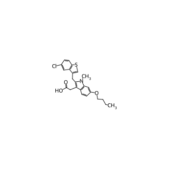 CCCCOc1ccc2c(CC(=O)O)c(Cc3csc4ccc(Cl)cc34)n(C)c2c1